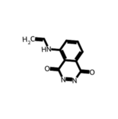 C=CNc1cccc2c1C(=O)N=NC2=O